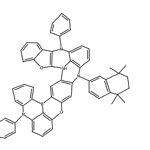 CC1(C)CCC(C)(C)c2cc(N3c4cc5c(cc4[SH]4c6oc7ccccc7c6N(c6ccccc6)c6cccc3c64)B3c4ccccc4N(c4ccccc4)c4cccc(c43)O5)ccc21